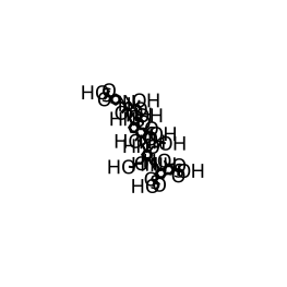 O=C(O)C1=NN(c2ccc(S(=O)(=O)O)cc2)C(=O)C1NNc1ccc2c(O)c(NNc3cc(OCCO)c(NNc4cc(S(=O)(=O)O)cc5cc(S(=O)(=O)O)cc(O)c45)cc3OCCO)c(S(=O)(=O)O)cc2c1S(=O)(=O)O